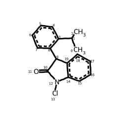 CC(C)c1ccccc1C1C(=O)N(Cl)c2ccccc21